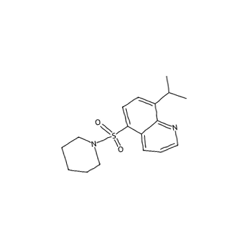 CC(C)c1ccc(S(=O)(=O)N2CCCCC2)c2cccnc12